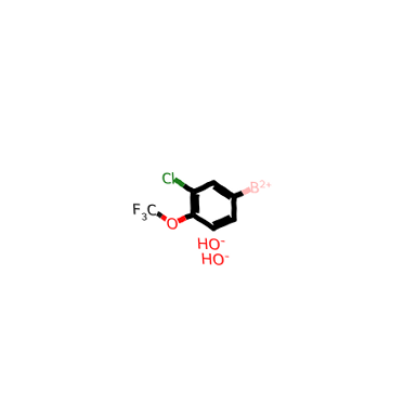 [B+2]c1ccc(OC(F)(F)F)c(Cl)c1.[OH-].[OH-]